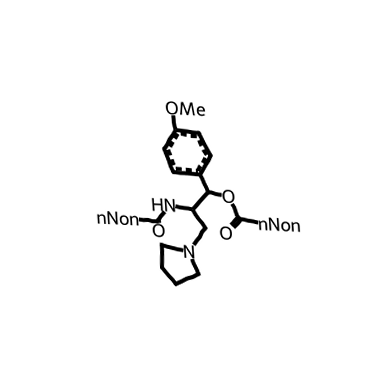 CCCCCCCCCC(=O)NC(CN1CCCC1)C(OC(=O)CCCCCCCCC)c1ccc(OC)cc1